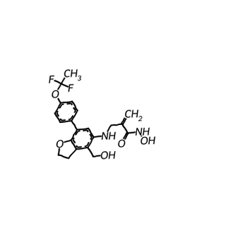 C=C(CNc1cc(-c2ccc(OC(C)(F)F)cc2)c2c(c1CO)CCO2)C(=O)NO